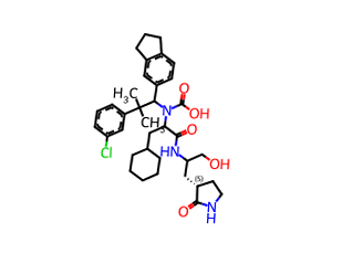 CC(C)(c1cccc(Cl)c1)C(c1ccc2c(c1)CCC2)N(C(=O)O)C(CC1CCCCC1)C(=O)NC(CO)C[C@@H]1CCNC1=O